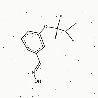 O/N=C/c1cccc(OC(F)(F)C(F)F)c1